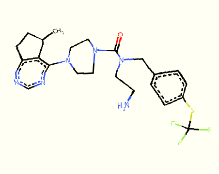 CC1CCc2ncnc(N3CCN(C(=O)N(CCN)Cc4ccc(SC(F)(F)F)cc4)CC3)c21